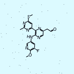 COc1ncc(Nc2ncc(CC=O)nc2-c2cc(SC)nc(C)n2)cc1F